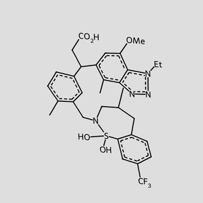 CCn1nnc2c(C)c(C(CC(=O)O)c3ccc(C)c(CN4CC(C)Cc5ccc(C(F)(F)F)cc5S4(O)O)c3)cc(OC)c21